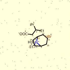 Br.CCC(CC(=O)[O-])C(C)C.CC[N+]1(C)C2CCCC1CC2